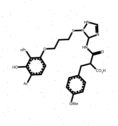 CCCc1c(OCCCSN2NC=NC2NC(=O)C(Cc2ccc(OC)cc2)C(=O)O)ccc(C(C)=O)c1O